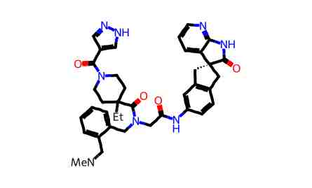 CCC1(C(=O)N(CC(=O)Nc2ccc3c(c2)C[C@@]2(C3)C(=O)Nc3ncccc32)Cc2ccccc2CNC)CCN(C(=O)c2cn[nH]c2)CC1